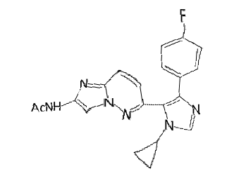 CC(=O)Nc1cn2nc(-c3c(-c4ccc(F)cc4)ncn3C3CC3)ccc2n1